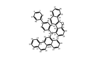 c1ccc(-c2ccc(N(c3cc4c5ccccc5ccc4c4ccccc34)c3cccc4oc5c6ccccc6ccc5c34)cc2)cc1